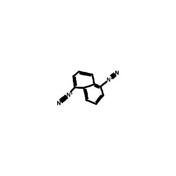 N#[N+]c1cccc2c([N+]#N)cccc12